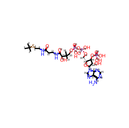 CC(C)(C)SCCNC(=O)CCNC(=O)C(O)C(C)(C)COP(=O)(O)OP(=O)(O)OC[C@H]1O[C@@H](n2cnc3c(N)ncnc32)[C@@H](O)C1OP(=O)(O)O